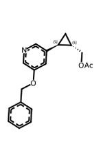 CC(=O)OC[C@H]1C[C@@H]1c1cncc(OCc2ccccc2)c1